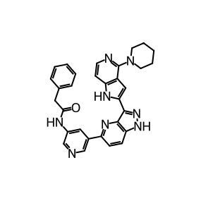 O=C(Cc1ccccc1)Nc1cncc(-c2ccc3[nH]nc(-c4cc5c(N6CCCCC6)nccc5[nH]4)c3n2)c1